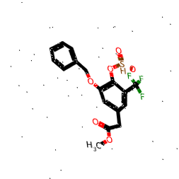 COC(=O)Cc1cc(OCc2ccccc2)c(O[SH](=O)=O)c(C(F)(F)F)c1